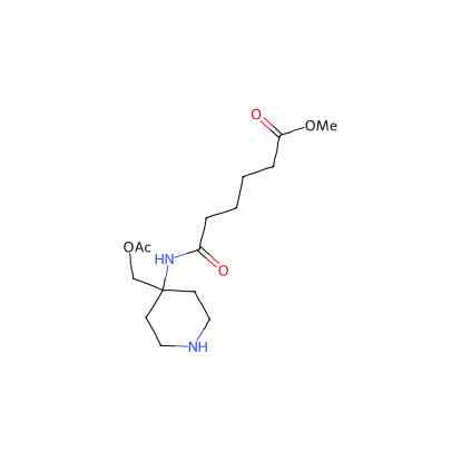 COC(=O)CCCCC(=O)NC1(COC(C)=O)CCNCC1